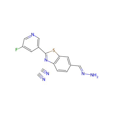 C#N.C#N.NN=Cc1ccc2nc(-c3cncc(F)c3)sc2c1